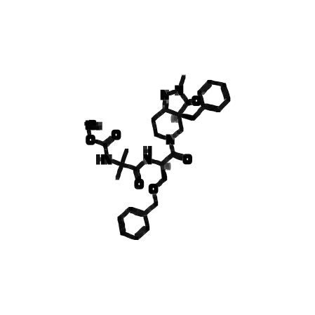 CN1N=C2CCN(C(=O)[C@@H](COCc3ccccc3)NC(=O)C(C)(C)NC(=O)OC(C)(C)C)C[C@@]2(Cc2ccccc2)C1=O